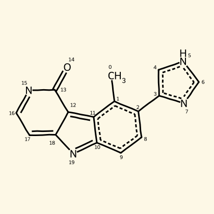 Cc1c(-c2c[nH]cn2)ccc2c1=C1C(=O)N=CC=C1N=2